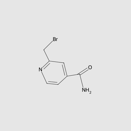 NC(=O)c1ccnc(CBr)c1